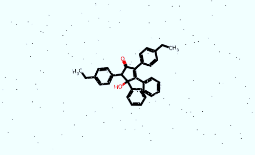 CCc1ccc(C2=C(c3ccccc3)C(O)(c3ccccc3)C(c3ccc(CC)cc3)C2=O)cc1